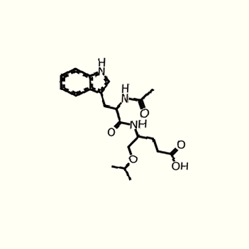 CC(=O)NC(Cc1c[nH]c2ccccc12)C(=O)NC(CCC(=O)O)COC(C)C